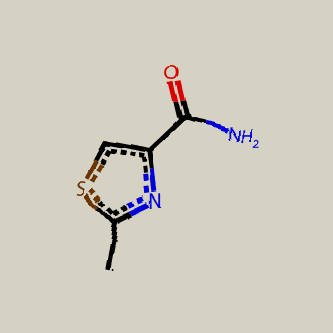 [CH2]c1nc(C(N)=O)cs1